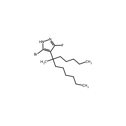 CCCCCCC(C)(CCCCC)c1c(F)n[nH]c1Br